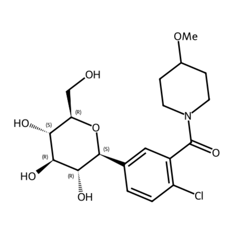 COC1CCN(C(=O)c2cc([C@@H]3O[C@H](CO)[C@@H](O)[C@H](O)[C@H]3O)ccc2Cl)CC1